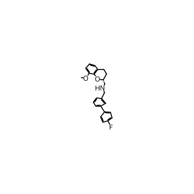 COc1cccc2c1O[C@H](CNCc1cccc(-c3ccc(F)cc3)c1)CC2